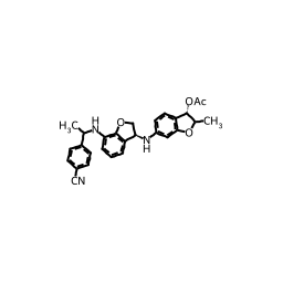 CC(=O)O[C@H]1c2ccc(N[C@@H]3COc4c(NC(C)c5ccc(C#N)cc5)cccc43)cc2OC1C